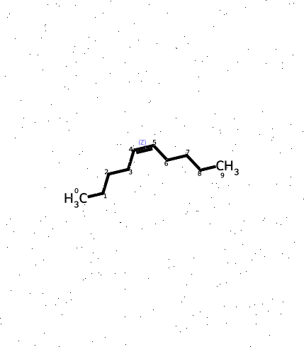 CCCC/C=C\CCCC